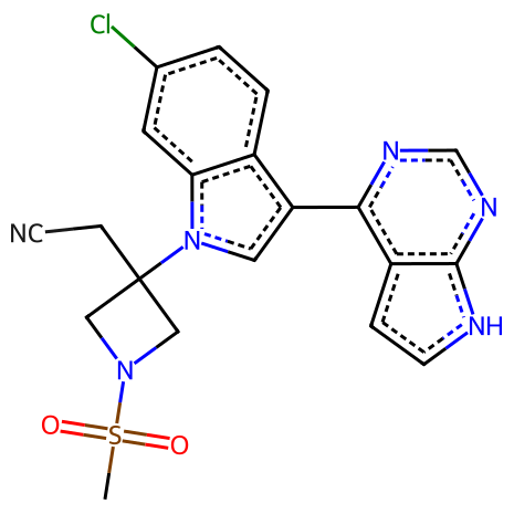 CS(=O)(=O)N1CC(CC#N)(n2cc(-c3ncnc4[nH]ccc34)c3ccc(Cl)cc32)C1